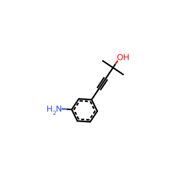 CC(C)(O)C#Cc1cccc(N)c1